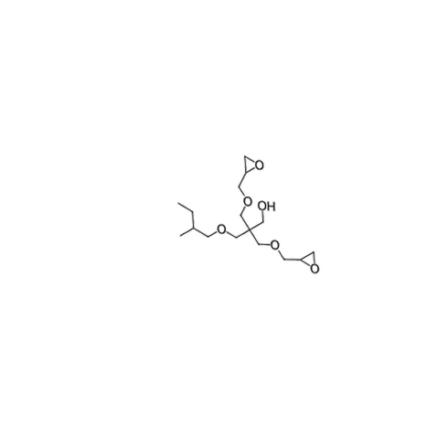 CCC(C)COCC(CO)(COCC1CO1)COCC1CO1